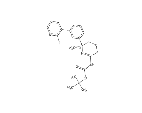 CC(C)(C)OC(=O)NC1=N[C@@](C)(c2cccc(-c3cccnc3F)c2)COC1